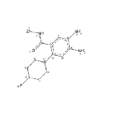 CCNC(=O)c1cc(N)c(N)cc1N1CCC(F)CC1